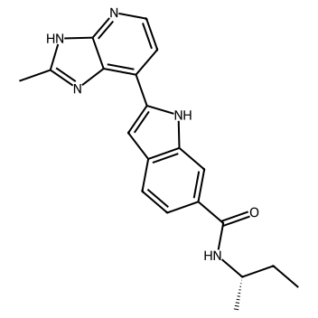 CC[C@H](C)NC(=O)c1ccc2cc(-c3ccnc4[nH]c(C)nc34)[nH]c2c1